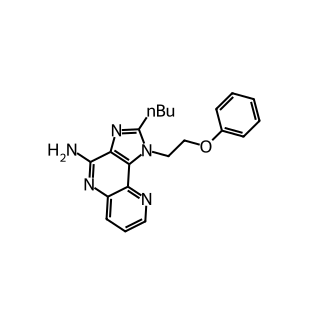 CCCCc1nc2c(N)nc3cccnc3c2n1CCOc1ccccc1